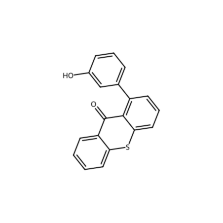 O=c1c2ccccc2sc2cccc(-c3cccc(O)c3)c12